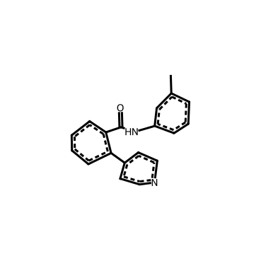 Cc1cccc(NC(=O)c2ccccc2-c2ccncc2)c1